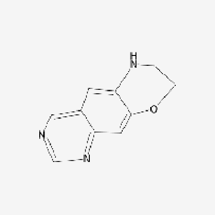 c1ncc2cc3c(cc2n1)OCCN3